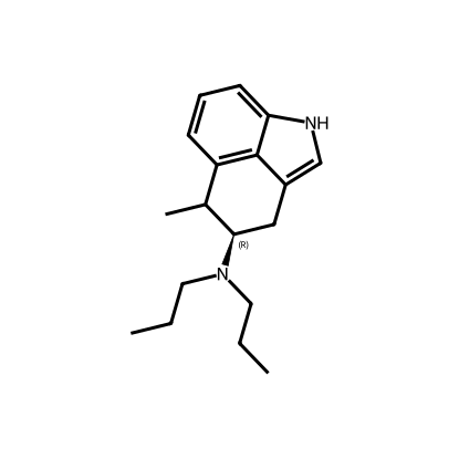 CCCN(CCC)[C@@H]1Cc2c[nH]c3cccc(c23)C1C